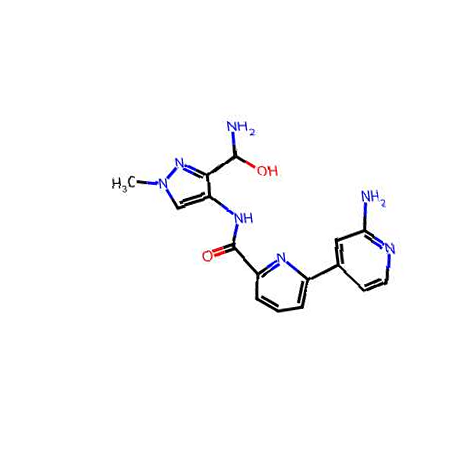 Cn1cc(NC(=O)c2cccc(-c3ccnc(N)c3)n2)c(C(N)O)n1